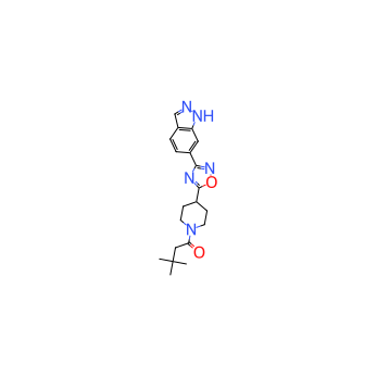 CC(C)(C)CC(=O)N1CCC(c2nc(-c3ccc4cn[nH]c4c3)no2)CC1